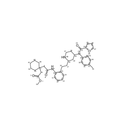 COC(=O)CC1(CC(=O)Nc2ccccc2CCC2CC(N(C(=O)c3ccco3)c3ccc(C)cn3)CCN2)CCCCC1